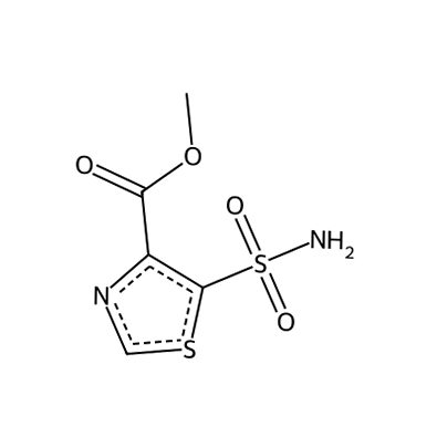 COC(=O)c1ncsc1S(N)(=O)=O